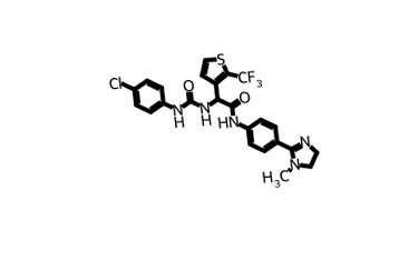 CN1CCN=C1c1ccc(NC(=O)C(NC(=O)Nc2ccc(Cl)cc2)c2ccsc2C(F)(F)F)cc1